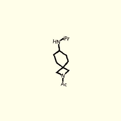 CC(=O)N1CC2(CCC(NC(C)C)CC2)C1